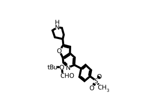 CC(C)(C)OC=O.CS(=O)(=O)c1ccc(-c2cc3cc(C4CCNCC4)oc3cn2)cc1